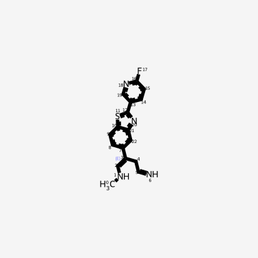 CN/C=C(\CC=N)c1ccc2sc(-c3ccc(F)nc3)nc2c1